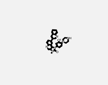 Cn1c(=O)n(-c2ccc(N3CCNCC3)c(C(F)(F)F)c2)c2c3cc(-c4cnc5ccccc5c4)ccc3ncc21